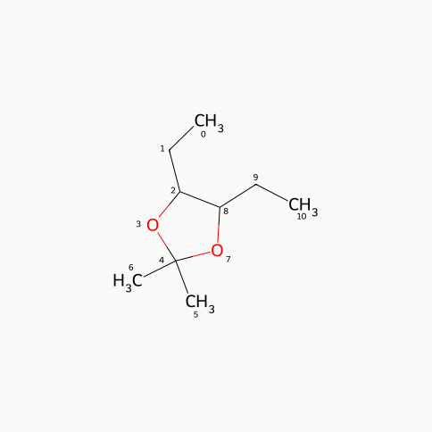 CCC1OC(C)(C)OC1CC